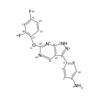 Nc1ccc(-c2n[nH]c3nc(Oc4ccc(F)cc4F)ncc23)cc1